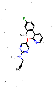 C#CCN(C)c1ncc(Oc2ncccc2-c2ccc(F)cc2OC)cn1